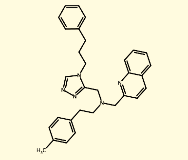 Cc1ccc(CCN(Cc2ccc3ccccc3n2)Cc2nncn2CCCc2ccccc2)cc1